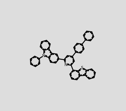 c1ccc(-c2ccc(-c3cc(-c4ccc5c(c4)c4ccccc4n5-c4ccccc4)nc(-c4cccc5c4sc4ccccc45)c3)cc2)cc1